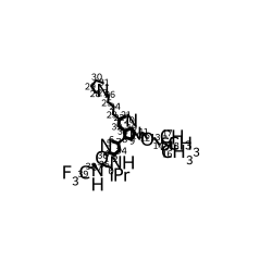 CC(C)[C@@H](Nc1cncc(-c2cn(COCC[Si](C)(C)C)c3ncc(CCCCN4CCCC4)cc23)c1)C(=O)NCC(F)(F)F